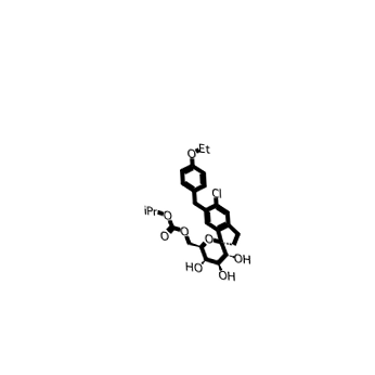 CCOc1ccc(Cc2cc3c(cc2Cl)CC[C@]32O[C@H](COC(=O)OC(C)C)[C@@H](O)[C@H](O)[C@H]2O)cc1